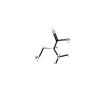 CC(C)C[C@H](C(=O)C(C)C)N(C)C